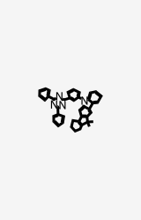 CC1(C)C2=C(CCCC2)c2cc3c(cc21)c1ccccc1n3-c1cccc(-c2nc(-c3ccccc3)nc(-c3ccccc3)n2)c1